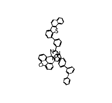 c1ccc(-c2cccc(-c3ccc(-c4nc(-c5cccc(-c6cccc7c6sc6c8ccccc8ccc76)c5)nc(-c5cccc6oc7cccc(-c8ccccc8)c7c56)n4)cc3)c2)cc1